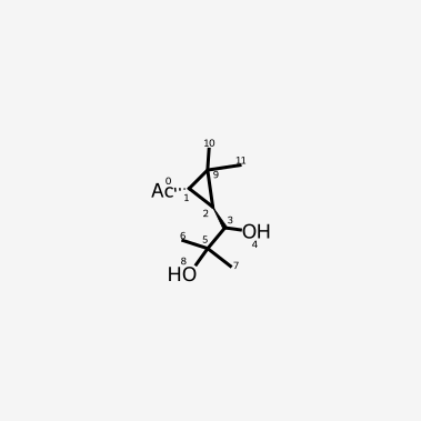 [CH2]C(=O)[C@H]1[C@H](C(O)C(C)(C)O)C1(C)C